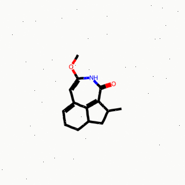 COC1=CC2=CCCC3CC(C)C(=C23)C(=O)N1